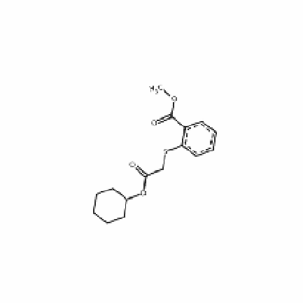 COC(=O)c1ccccc1SCC(=O)OC1CCCCC1